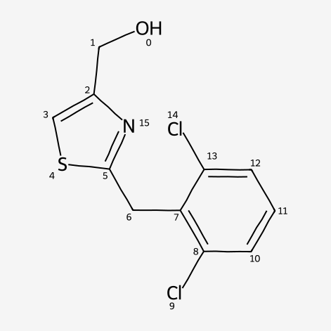 OCc1csc(Cc2c(Cl)cccc2Cl)n1